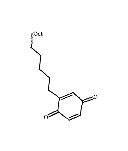 CCCCCCCCCCCCCC1=CC(=O)C=CC1=O